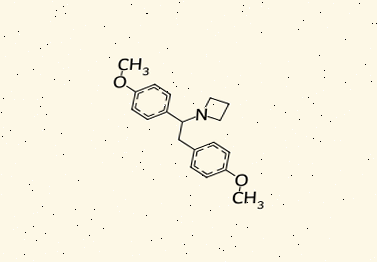 COc1ccc(CC(c2ccc(OC)cc2)N2CCC2)cc1